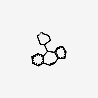 C1=Cc2ccccc2C(C2CCNCC2)c2ccccc21